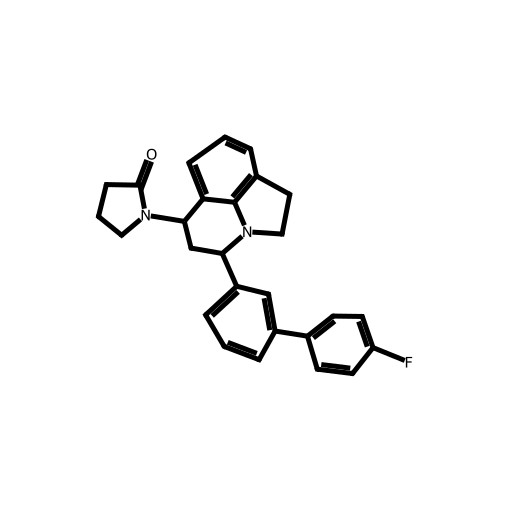 O=C1CCCN1C1CC(c2cccc(-c3ccc(F)cc3)c2)N2CCc3cccc1c32